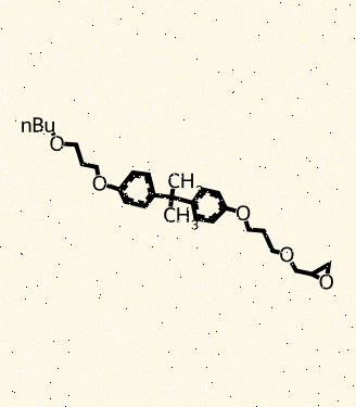 CCCCOCCCOc1ccc(C(C)(C)c2ccc(OCCCOCC3CO3)cc2)cc1